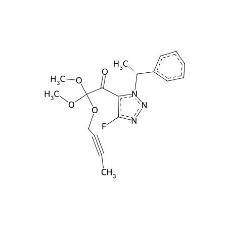 CC#CCOC(OC)(OC)C(=O)c1c(F)nnn1[C@H](C)c1ccccc1